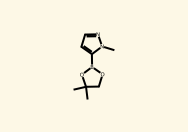 Cn1nccc1B1OCC(C)(C)O1